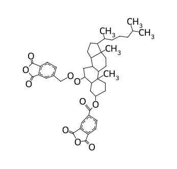 CC(C)CCCC(C)C1CCC2C3CC(OOCc4ccc5c(c4)C(=O)OC5=O)C4CC(OC(=O)c5ccc6c(c5)C(=O)OC6=O)CCC4(C)C3CCC12C